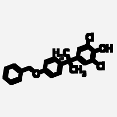 CC(C)(c1ccc(OCc2ccccc2)cc1)c1cc(Cl)c(O)c(Cl)c1